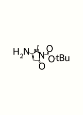 C[C@@H]1C(N)=CC(=O)N1C(=O)OC(C)(C)C